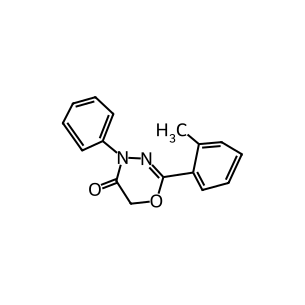 Cc1ccccc1C1=NN(c2ccccc2)C(=O)CO1